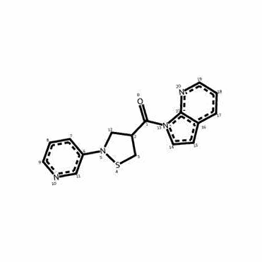 O=C(C1CSN(c2cccnc2)C1)n1ccc2cccnc21